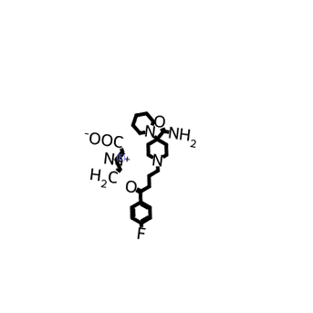 C=C/C=C/C(=O)[O-].NC(=O)C1(N2CCCCC2)CCN(CCCC(=O)c2ccc(F)cc2)CC1.[Na+]